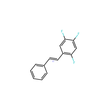 Fc1cc(F)c(/C=C/c2ccccc2)cc1F